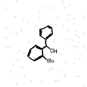 CC(C)(C)c1ccccc1C(O)c1ccccc1